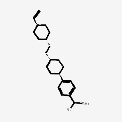 C=C[C@H]1CC[C@H](CC[C@H]2CC[C@H](c3ccc(C(CC)OC)cc3)CC2)CC1